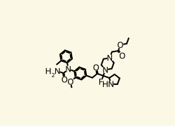 CCOC(=O)CN1CCN(C(F)(C(=O)Cc2ccc(N(C(N)=O)c3ccccc3C)c(OC)c2)C2CCCN2)CC1